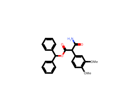 COc1ccc(C(C(N)=O)C(=O)OC(c2ccccc2)c2ccccc2)cc1OC